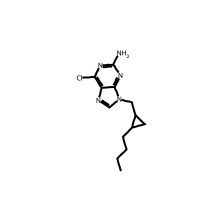 CCCCC1CC1Cn1cnc2c(Cl)nc(N)nc21